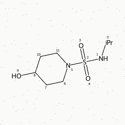 CC(C)NS(=O)(=O)N1CCC(O)CC1